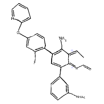 C=C/N=C1/C(c2cccc(NC(C)=O)c2)=CC(c2ccc(Oc3ccccn3)cc2F)=C(N)/C1=C/C